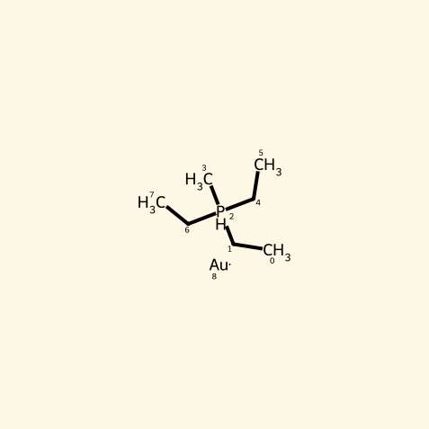 CC[PH](C)(CC)CC.[Au]